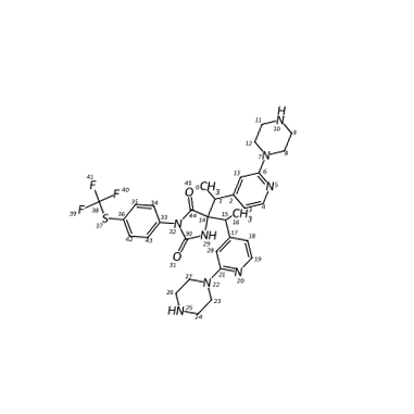 CC(c1ccnc(N2CCNCC2)c1)C1(C(C)c2ccnc(N3CCNCC3)c2)NC(=O)N(c2ccc(SC(F)(F)F)cc2)C1=O